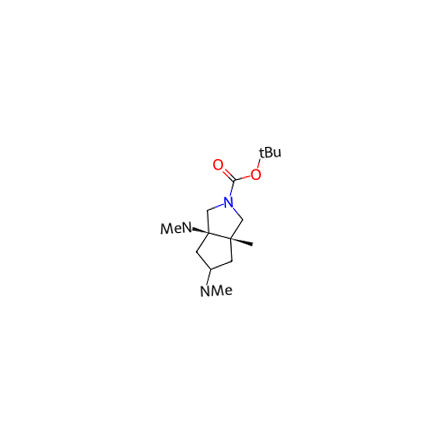 CNC1C[C@@]2(C)CN(C(=O)OC(C)(C)C)C[C@@]2(NC)C1